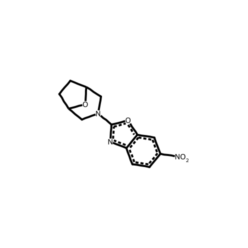 O=[N+]([O-])c1ccc2nc(N3CC4CCC(C3)O4)oc2c1